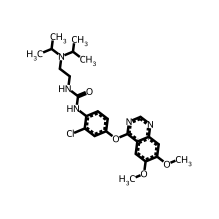 COc1cc2ncnc(Oc3ccc(NC(=O)NCCN(C(C)C)C(C)C)c(Cl)c3)c2cc1OC